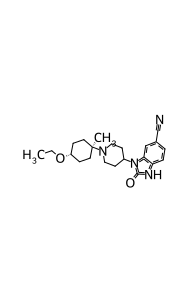 CCO[C@H]1CC[C@](C)(N2CCC(n3c(=O)[nH]c4ccc(C#N)cc43)CC2)CC1